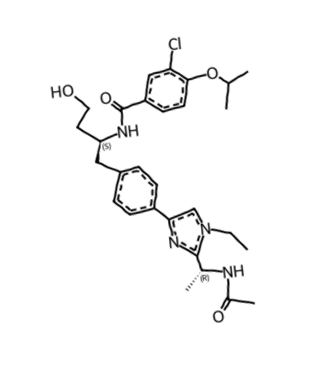 CCn1cc(-c2ccc(C[C@@H](CCO)NC(=O)c3ccc(OC(C)C)c(Cl)c3)cc2)nc1[C@@H](C)NC(C)=O